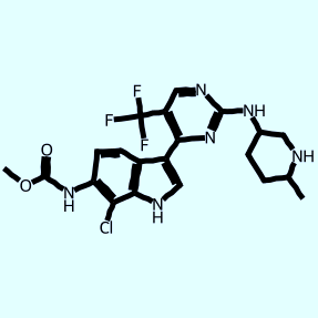 COC(=O)Nc1ccc2c(-c3nc(NC4CCC(C)NC4)ncc3C(F)(F)F)c[nH]c2c1Cl